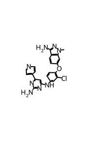 Cn1nc(N)c2ccc(Oc3ccc(Nc4cc(-c5ccncc5)nc(N)n4)cc3Cl)cc21